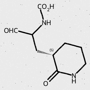 O=CC(C[C@@H]1CCCNC1=O)NC(=O)O